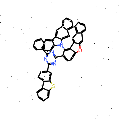 c1ccc(-c2nc(-c3ccc4c(c3)sc3ccccc34)nc(-c3ccc4oc5cc6ccccc6cc5c4c3-n3c4ccccc4c4cc5ccccc5cc43)n2)cc1